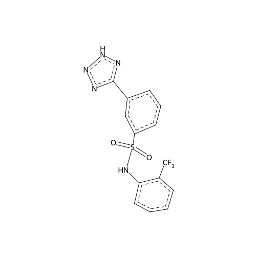 O=S(=O)(Nc1ccccc1C(F)(F)F)c1cccc(-c2nn[nH]n2)c1